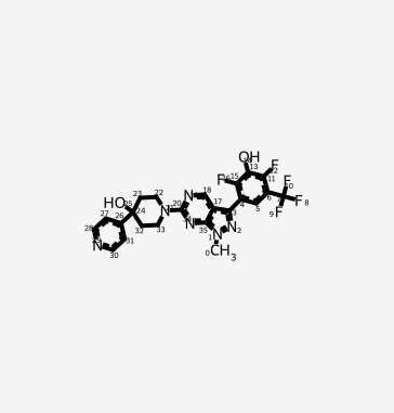 Cn1nc(-c2cc(C(F)(F)F)c(F)c(O)c2F)c2cnc(N3CCC(O)(c4ccncc4)CC3)nc21